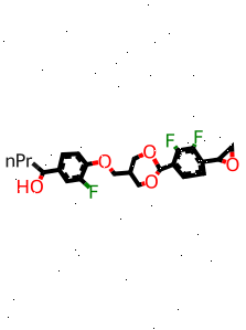 CCCC(O)c1ccc(OCC2COC(c3ccc(C4CO4)c(F)c3F)OC2)c(F)c1